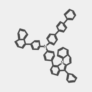 c1ccc(-c2ccc(-c3ccc(N(c4ccc(-c5cccc6ccccc56)cc4)c4ccc(-c5cccc6c(-c7ccccc7)c7ccc8ccccc8n7c56)cc4)cc3)cc2)cc1